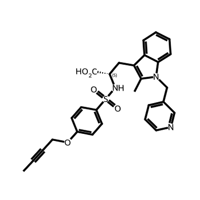 CC#CCOc1ccc(S(=O)(=O)N[C@@H](Cc2c(C)n(Cc3cccnc3)c3ccccc23)C(=O)O)cc1